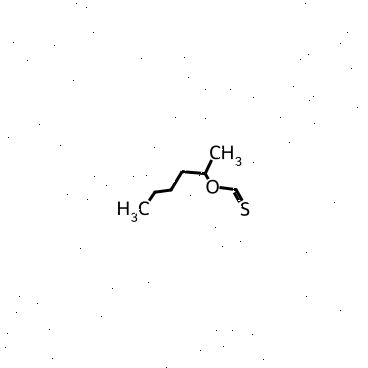 CCCCC(C)OC=S